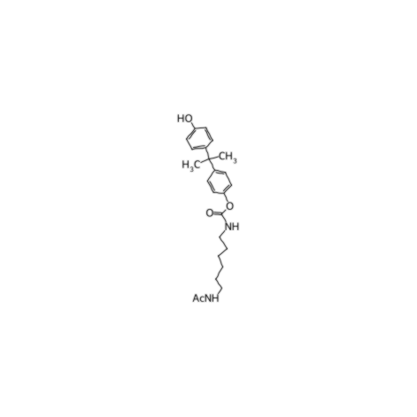 CC(=O)NCCCCCCNC(=O)Oc1ccc(C(C)(C)c2ccc(O)cc2)cc1